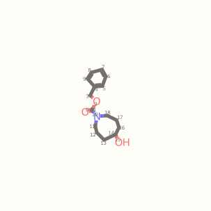 O=C(OCc1ccccc1)N1CCCC(O)CCC1